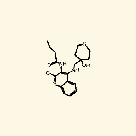 CCCC(=O)Nc1c(Cl)nc2ccccc2c1NCC1(O)CCSCC1